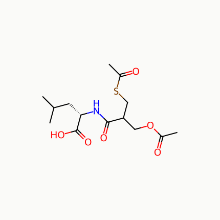 CC(=O)OCC(CSC(C)=O)C(=O)N[C@@H](CC(C)C)C(=O)O